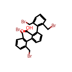 O=C(O)c1c(-c2c(CBr)cccc2CBr)cccc1-c1c(CBr)cccc1CBr